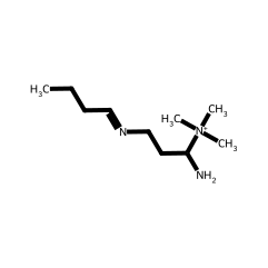 CCCC=NCCC(N)[N+](C)(C)C